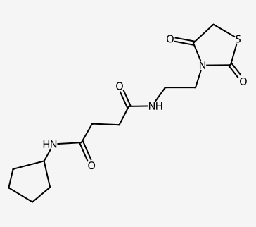 O=C(CCC(=O)NC1CCCC1)NCCN1C(=O)CSC1=O